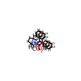 O=C(O)[C@H]1[C@@H]2CC[C@H](CN1C(=O)C(c1ccccc1)c1ccccc1)N2C(=O)C(c1ccccc1)c1ccccc1